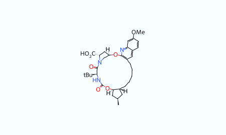 COc1ccc2cc3c(nc2c1)O[C@@H]1C[C@@H](C(=O)O)N(C1)C(=O)[C@H](C(C)(C)C)NC(=O)O[C@@H]1C[C@H](C)C[C@H]1CCCCC3